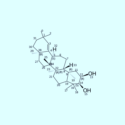 CC1(C)C=C2[C@H]3CC[C@@H]4[C@@]5(C)C[C@@H](O)[C@@H](O)C(C)(C)C5CC[C@@]4(C)[C@]3(C)CC[C@@]2(C)CC1